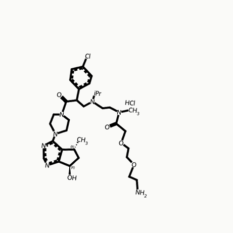 CC(C)N(CCN(C)C(=O)COCCOCCN)CC(C(=O)N1CCN(c2ncnc3c2[C@H](C)C[C@H]3O)CC1)c1ccc(Cl)cc1.Cl